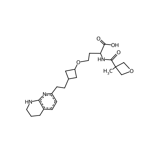 CC1(C(=O)NC(CCOC2CC(CCc3ccc4c(n3)NCCC4)C2)C(=O)O)COC1